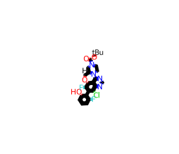 CC(C)(C)OC(=O)N1CCN2c3ncnc4c(Cl)c(-c5c(O)cccc5F)c(F)c(c34)OC[C@@H]2C1